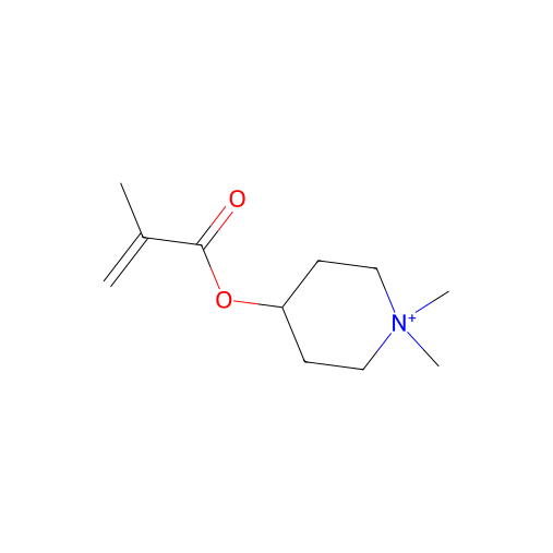 C=C(C)C(=O)OC1CC[N+](C)(C)CC1